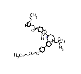 CCCCOCCOc1ccc(-c2ccc3c(c2)/C=C(/c2nc4ccc([S+]([O-])Cc5cncn5CCC)cc4[nH]2)CCCN3CC(C)C)cc1